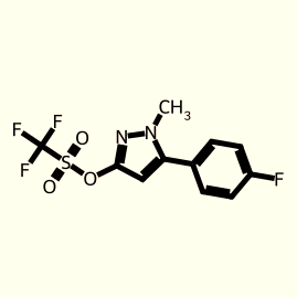 Cn1nc(OS(=O)(=O)C(F)(F)F)cc1-c1ccc(F)cc1